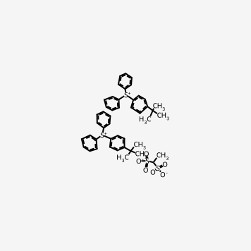 CC(C)(C)c1ccc([S+](c2ccccc2)c2ccccc2)cc1.CC(C)(C)c1ccc([S+](c2ccccc2)c2ccccc2)cc1.CC(S(=O)(=O)[O-])S(=O)(=O)[O-]